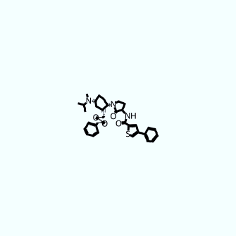 CC(C)N(C)[C@@H]1CC[C@H](N2CCC(NC(=O)c3cc(-c4ccccc4)cs3)C2=O)[C@H](CS(=O)(=O)c2ccccc2)C1